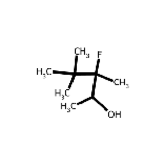 CC(O)C(C)(F)C(C)(C)C